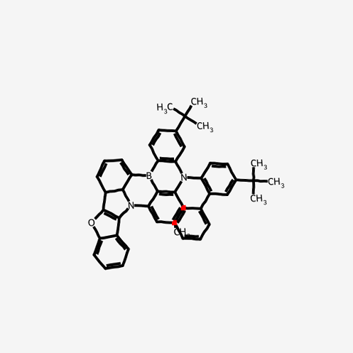 Cc1cc2c3c(c1)N1c4c(oc5ccccc45)C4C=CC=C(B3c3ccc(C(C)(C)C)cc3N2c2ccc(C(C)(C)C)cc2-c2ccccc2)C41